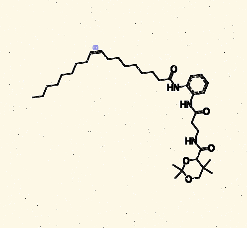 CCCCCCCC/C=C\CCCCCCCC(=O)Nc1ccccc1NC(=O)CCNC(=O)C1OC(C)(C)OCC1(C)C